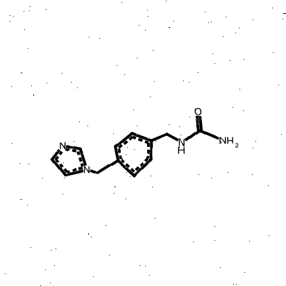 NC(=O)NCc1ccc(Cn2ccnc2)cc1